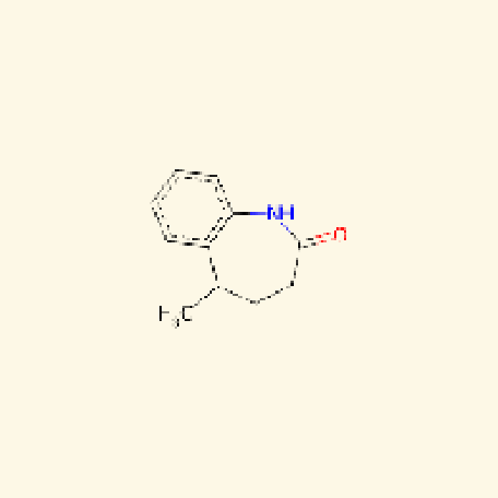 CC1CCC(=O)Nc2ccccc21